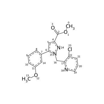 COC(=O)c1cc(-c2cccc(OC)c2)n(Cc2ncccc2Cl)n1